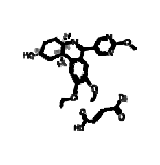 CCOc1cc2c(cc1OC)C(c1cnc(OC)nc1)=N[C@@H]1CC[C@@H](O)C[C@H]21.O=C(O)C=CC(=O)O